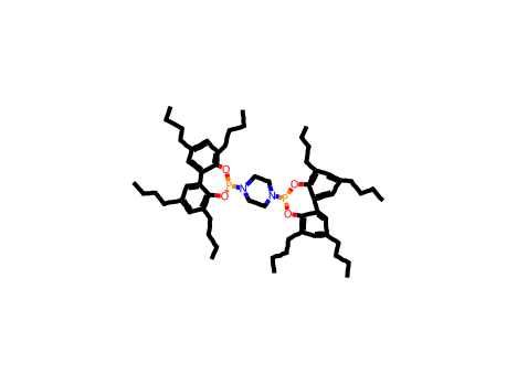 CCCCc1cc(CCCC)c2op(N3CCN(p4oc5c(CCCC)cc(CCCC)cc5c5cc(CCCC)cc(CCCC)c5o4)CC3)oc3c(CCCC)cc(CCCC)cc3c2c1